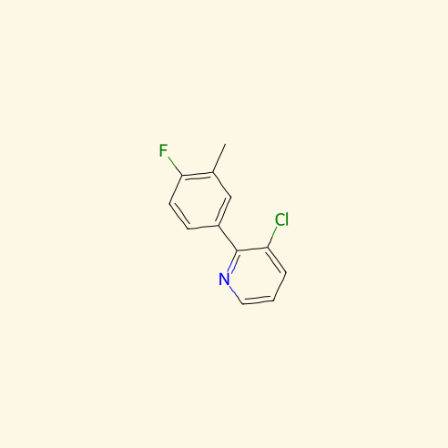 Cc1cc(-c2ncccc2Cl)ccc1F